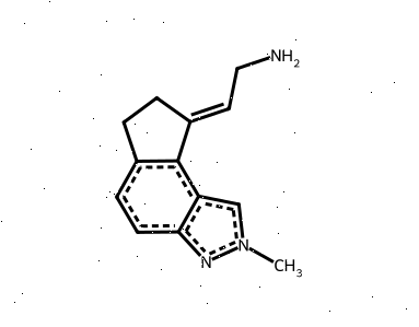 Cn1cc2c3c(ccc2n1)CC/C3=C\CN